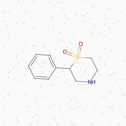 O=S1(=O)CCNCC1c1ccccc1